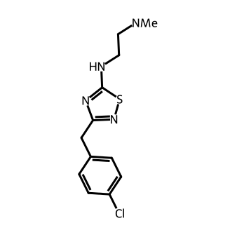 CNCCNc1nc(Cc2ccc(Cl)cc2)ns1